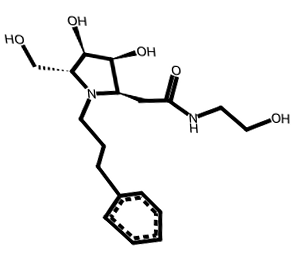 O=C(C[C@@H]1[C@H](O)[C@H](O)[C@@H](CO)N1CCCc1ccccc1)NCCO